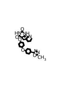 Cc1nnc(-c2ccc(Oc3ccc(OC4(Cc5cccnc5)C(=O)NC(=O)NC4=O)cc3)cc2)o1